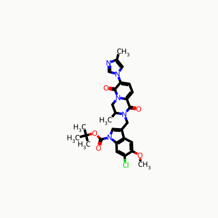 COc1cc2c(CN3C(=O)c4ccc(-n5cnc(C)c5)c(=O)n4CC3C)cn(C(=O)OC(C)(C)C)c2cc1Cl